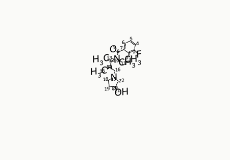 Cc1c(F)cccc1C(=O)N(C)C(C)[C@H](C)CN1CC[C@H](O)C1